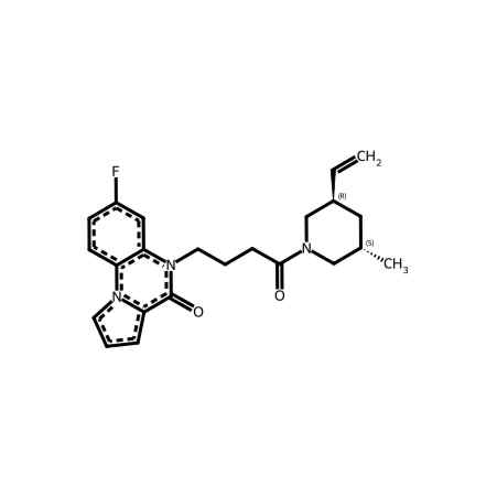 C=C[C@H]1C[C@H](C)CN(C(=O)CCCn2c(=O)c3cccn3c3ccc(F)cc32)C1